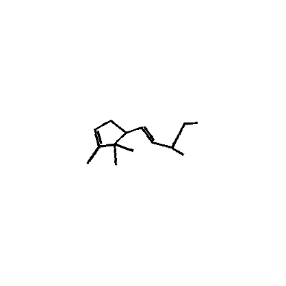 CCC(C)C=CC1CC=C(C)C1(C)C